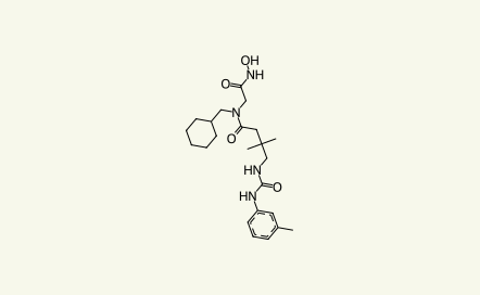 Cc1cccc(NC(=O)NCC(C)(C)CC(=O)N(CC(=O)NO)CC2CCCCC2)c1